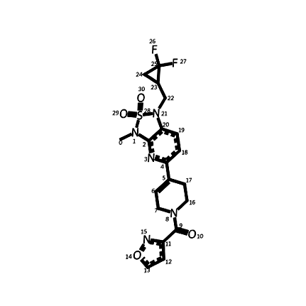 CN1c2nc(C3=CCN(C(=O)c4ccon4)CC3)ccc2N(CC2CC2(F)F)S1(=O)=O